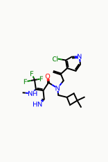 C=C(CN(CC1CC(C)(C)C1)C(=O)/C(C=N)=C(/NC)C(F)(F)F)c1ccncc1Cl